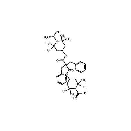 C=C(C(C)C)N1C(C)(C)CC(OC(=O)C(Cc2ccccc2)(Cc2ccccc2)C(=O)OC2CC(C)(C)N(C(=C)C(C)C)C(C)(C)C2)CC1(C)C